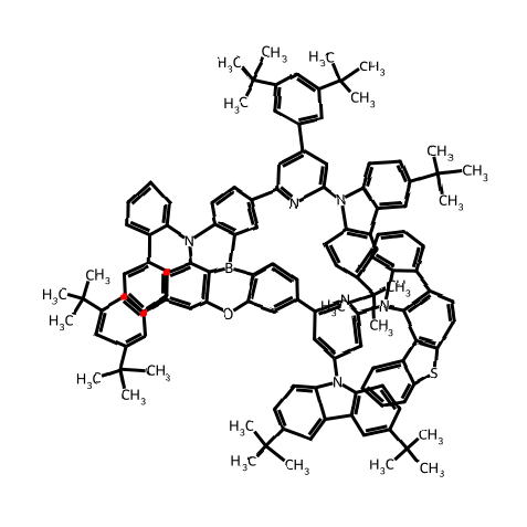 CC(C)(C)c1cc(-c2cc(-c3ccc4c(c3)B3c5ccc(-c6cc(-n7c8ccc(C(C)(C)C)cc8c8cc(C(C)(C)C)ccc87)cc(-n7c8ccccc8c8ccc9sc%10ccccc%10c9c87)n6)cc5Oc5cc(-c6cc(C(C)(C)C)cc(C(C)(C)C)c6)cc(c53)N4c3ccccc3-c3ccccc3)nc(-n3c4ccc(C(C)(C)C)cc4c4cc(C(C)(C)C)ccc43)c2)cc(C(C)(C)C)c1